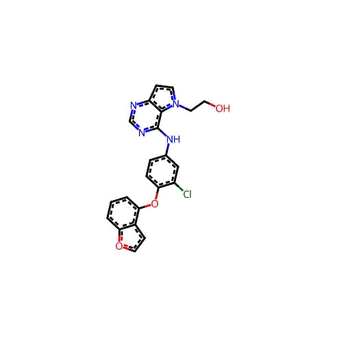 OCCn1ccc2ncnc(Nc3ccc(Oc4cccc5occc45)c(Cl)c3)c21